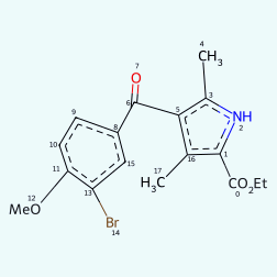 CCOC(=O)c1[nH]c(C)c(C(=O)c2ccc(OC)c(Br)c2)c1C